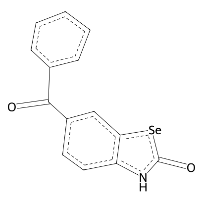 O=C(c1ccccc1)c1ccc2[nH]c(=O)[se]c2c1